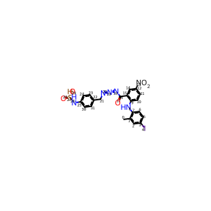 Cc1cc(I)ccc1Nc1ccc([N+](=O)[O-])cc1C(=O)N=[N+]=NCc1ccc(N[SH](=O)=O)cc1